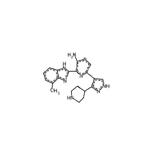 Cc1cccc2[nH]c(-c3nc(-c4c[nH]nc4C4CCNCC4)cnc3N)nc12